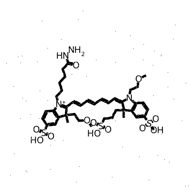 COCCN1/C(=C/C=C/C=C/C=C/C2=[N+](CCCCCC(=O)NN)c3ccc(S(=O)(=O)O)cc3C2(C)CCOC)C(C)(CCCS(=O)(=O)O)c2cc(S(=O)(=O)O)ccc21